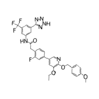 CCOc1cc(-c2ccc(CC(=O)Nc3cc(-c4nn[nH]n4)cc(C(F)(F)F)c3)c(F)c2)cnc1OCc1ccc(OC)cc1